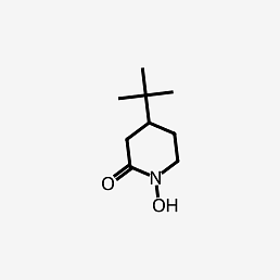 CC(C)(C)C1CCN(O)C(=O)C1